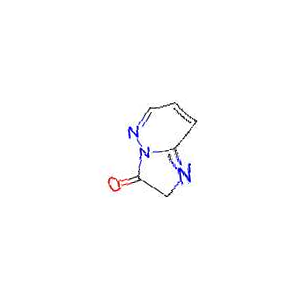 O=C1CN=C2C=CC=NN12